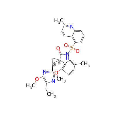 CCc1ncc([C@H]2C[C@@]2(C(=O)NS(=O)(=O)c2cccc3nc(C)ccc23)c2cc(C)ccc2OC)nc1OC